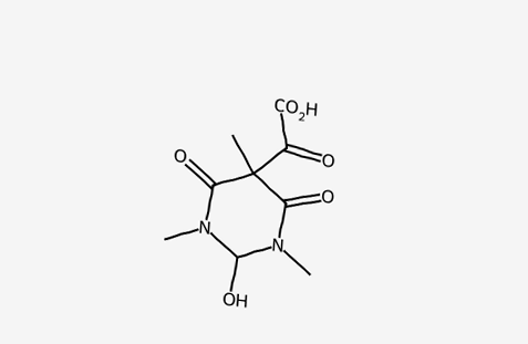 CN1C(=O)C(C)(C(=O)C(=O)O)C(=O)N(C)C1O